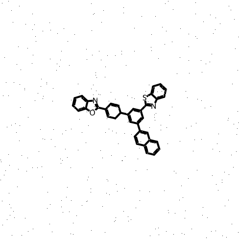 C1=CC(c2cc(-c3ccc4ccccc4c3)cc(-c3nc4ccccc4s3)c2)CC=C1c1nc2ccccc2o1